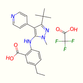 CCc1ccc(Nc2c(-c3ccncc3)c(C(C)(C)C)nn2C)c(C(=O)O)c1.O=C(O)C(F)(F)F